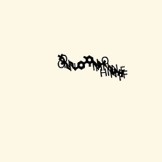 Cc1ccc(-n2cc(C(=O)NCc3nc(C(C)(C)C(F)(F)F)n[nH]3)cn2)c(C)c1-c1ccc(CN2CCN(C(=O)OC(C)(C)C)CC2)cc1